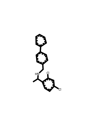 CC(NCc1ccc(-c2ccccc2)cc1)c1ccc(Cl)cc1Cl